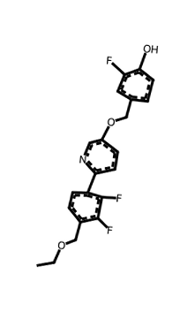 CCOCc1ccc(-c2ccc(OCc3ccc(O)c(F)c3)cn2)c(F)c1F